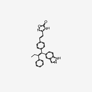 CCC(=C(c1ccc(C=Cc2noc(=O)[nH]2)cc1)c1ccc2[nH]ncc2c1)c1ccccc1